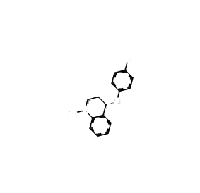 CC(=O)N1c2ccccc2[C@H](Nc2ccc(Br)cc2)C[C@H]1C